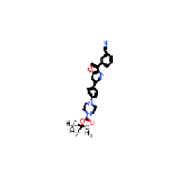 CC(C)(C)OC(=O)N1CCN(c2ccc(-c3cnc4c(-c5cccc(C#N)c5)coc4c3)cc2)CC1